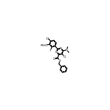 COc1c(Cl)ccc(-c2nc(C(=O)OCc3ccccc3)c(Cl)c(N(C)C)n2)c1F